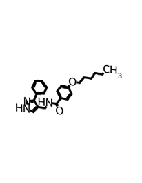 CCCCCCOc1ccc(C(=O)NCc2c[nH]nc2-c2ccccc2)cc1